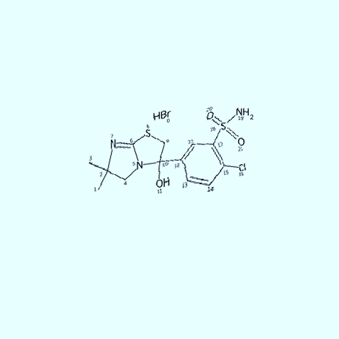 Br.CC1(C)CN2C(=N1)SCC2(O)c1ccc(Cl)c(S(N)(=O)=O)c1